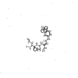 C=CCC(CC)C(O)CCCC(=CCCc1ccc2c(c1)OCO2)CC